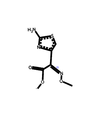 [CH2]OC(=O)/C(=N\OC)c1csc(N)n1